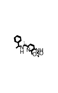 Cc1nc([C@@H](C)NC(C)c2ccccc2)ccc1NS(C)(=O)=O